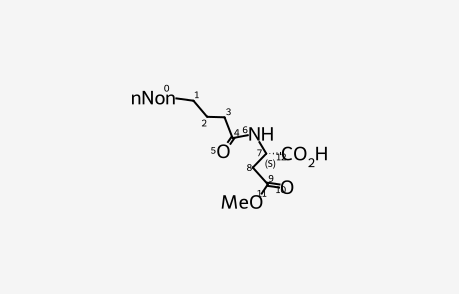 CCCCCCCCCCCCC(=O)N[C@@H](CC(=O)OC)C(=O)O